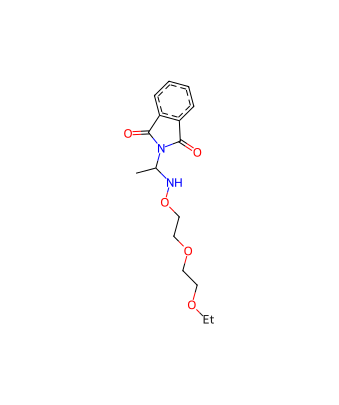 CCOCCOCCONC(C)N1C(=O)c2ccccc2C1=O